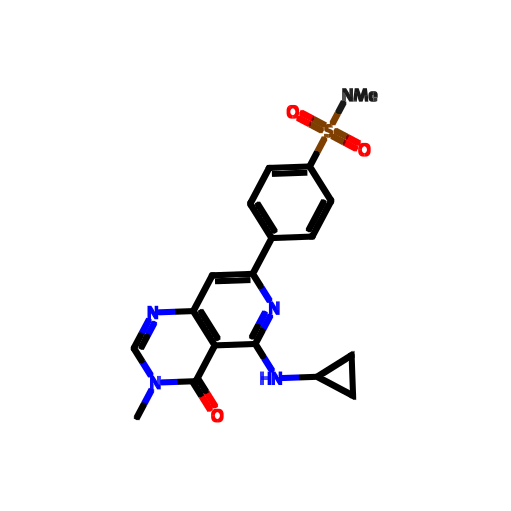 CNS(=O)(=O)c1ccc(-c2cc3ncn(C)c(=O)c3c(NC3CC3)n2)cc1